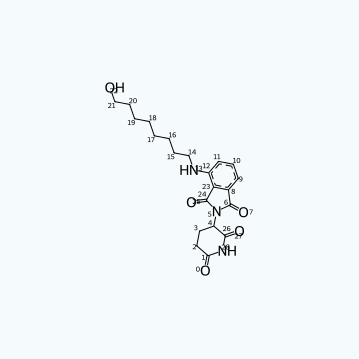 O=C1CCC(N2C(=O)c3cccc(NCCCCCCCCO)c3C2=O)C(=O)N1